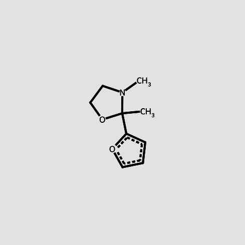 CN1CCOC1(C)c1ccco1